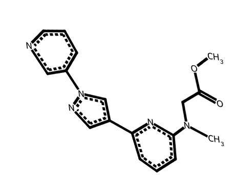 COC(=O)CN(C)c1cccc(-c2cnn(-c3cccnc3)c2)n1